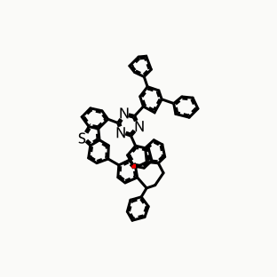 c1ccc(-c2cc(-c3ccccc3)cc(-c3nc(-c4ccccc4)nc(-c4cccc5sc6ccc(-c7ccc8c(c7)-c7ccccc7CCC8c7ccccc7)cc6c45)n3)c2)cc1